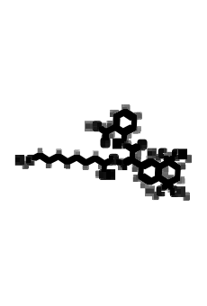 CCCCCCCCC(O)ON=C(C(=O)Nc1ccccc1C(=O)O)c1ccc2c(c1)C(C)(C)CCC2(C)C